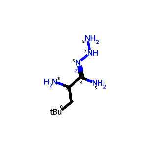 CC(C)(C)CC(N)/C(N)=N/NN